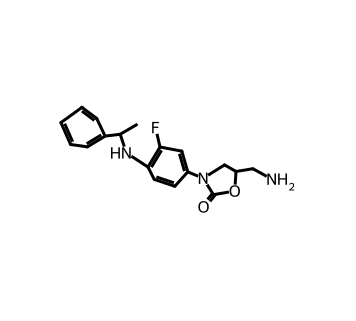 CC(Nc1ccc(N2CC(CN)OC2=O)cc1F)c1ccccc1